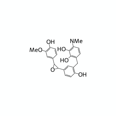 CNc1ccc(Cc2cc(C3OC3c3ccc(O)c(OC)c3)ccc2O)c(O)c1O